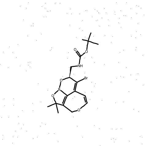 CC(C)(C)OC(=O)NC[C@@H]1OB2OC(C)(C)C3=C2C(=C1Br)C=COC3